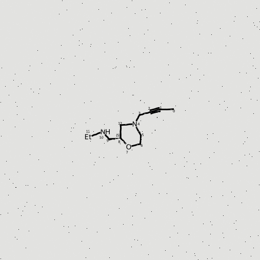 CC#CCN1CCO[C@@H](CNCC)C1